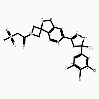 CS(=O)(=O)CC(=O)N1CC2(C1)OCc1cc(C3=NOC(c4cc(Cl)c(F)c(Cl)c4)(C(F)(F)F)C3)ncc12